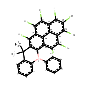 CC1(C)c2ccccc2B(c2ccccc2)c2c1c(F)c1c(F)c(F)c3c(F)c(F)c(F)c4c(F)c(F)c2c1c34